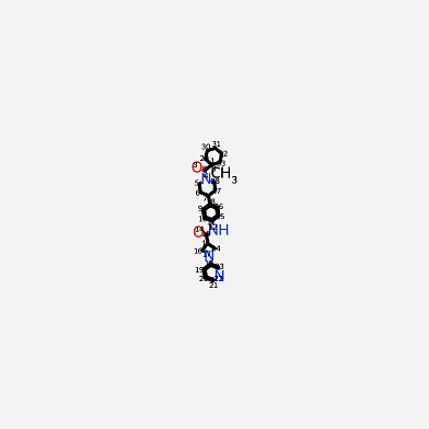 CC1(C(=O)N2CCC(c3ccc(NC(=O)C4CN(c5cccnc5)C4)cc3)CC2)CCCCC1